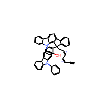 C#C/C=C\C=C/CC1(c2ccccc2O)c2ccccc2-c2ccc3c4ccccc4n(-c4ccc5c(c4)c4ccccc4n5-c4ccccc4)c3c21